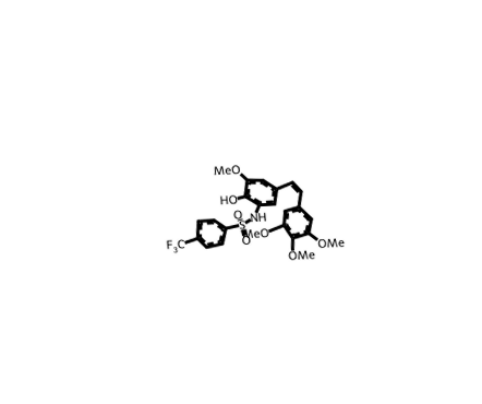 COc1cc(/C=C\c2cc(OC)c(OC)c(OC)c2)cc(NS(=O)(=O)c2ccc(C(F)(F)F)cc2)c1O